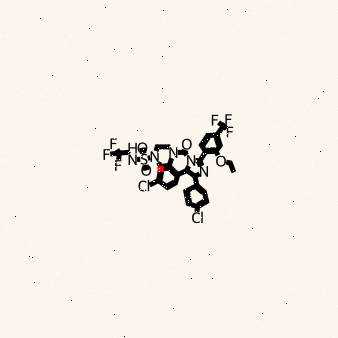 CCOc1cc(C(F)(F)F)ccc1C1=NC(c2ccc(Cl)cc2)C(c2ccc(Cl)cc2)N1C(=O)N1CCN(S(=O)(=O)NCC(F)(F)F)CC1